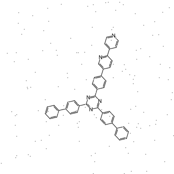 c1ccc(-c2ccc(-c3nc(-c4ccc(-c5ccccc5)cc4)nc(-c4ccc(-c5ccc(-c6ccncc6)nc5)cc4)n3)cc2)cc1